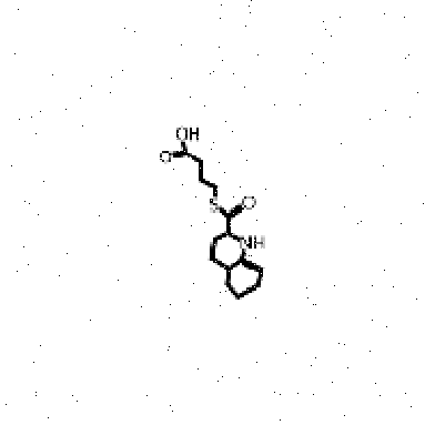 O=C(O)CCCSC(=O)C1CCC2CCCC=C2N1